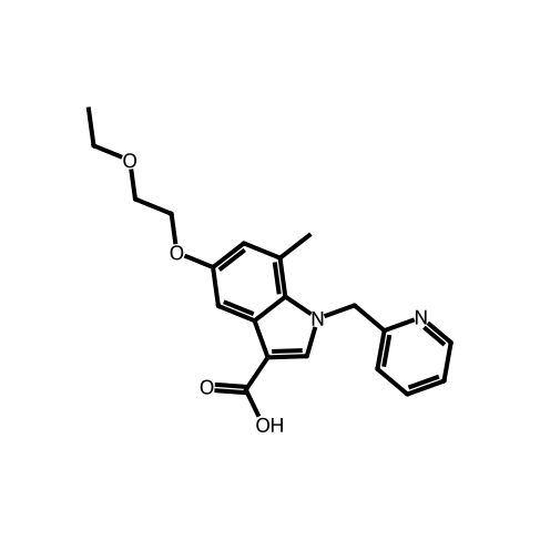 CCOCCOc1cc(C)c2c(c1)c(C(=O)O)cn2Cc1ccccn1